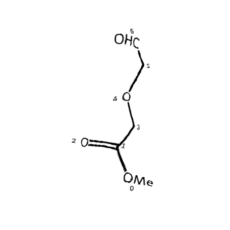 COC(=O)COCC=O